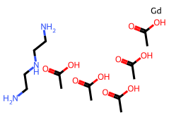 CC(=O)O.CC(=O)O.CC(=O)O.CC(=O)O.CC(=O)O.NCCNCCN.[Gd]